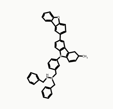 CC1C=Cc2c(c3cc(-c4ccc5oc6ccccc6c5c4)ccc3n2-c2cccc(CN(Cc3ccccc3)NCc3ccccc3)c2)C1